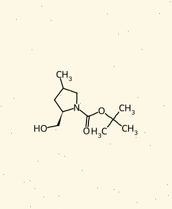 CC1C[C@H](CO)N(C(=O)OC(C)(C)C)C1